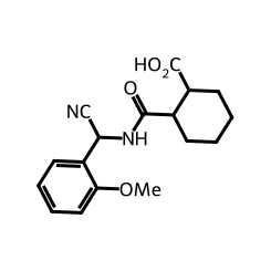 COc1ccccc1C(C#N)NC(=O)C1CCCCC1C(=O)O